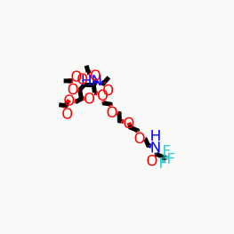 CC(=O)NC1C(OCCOCCOCCOCCNC(=O)C(F)(F)F)OC(COC(C)=O)C(OC(C)=O)C1OC(C)=O